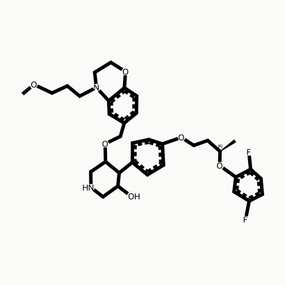 COCCCN1CCOc2ccc(COC3CNCC(O)C3c3ccc(OCC[C@@H](C)Oc4cc(F)ccc4F)cc3)cc21